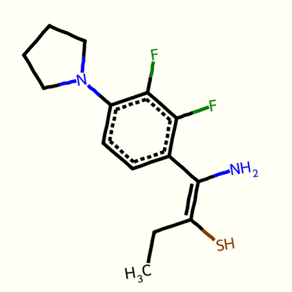 CC/C(S)=C(/N)c1ccc(N2CCCC2)c(F)c1F